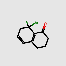 O=C1CCCC2=C1C(F)(Br)CC=C2